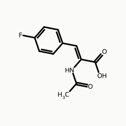 CC(=O)NC(=Cc1ccc(F)cc1)C(=O)O